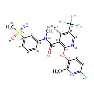 Cc1nc(F)ccc1Oc1ncc(C(F)(F)F)c(C)c1C(=O)N(C)c1cccc(S(C)(=N)=O)c1